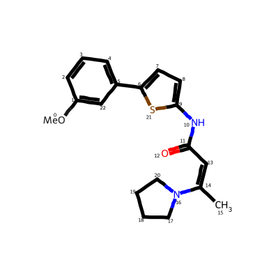 COc1cccc(-c2ccc(NC(=O)C=C(C)N3CCCC3)s2)c1